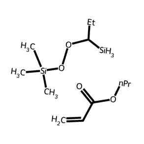 C=CC(=O)OCCC.CCC([SiH3])OO[Si](C)(C)C